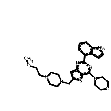 COCCN1CCN(Cc2cc3nc(-c4cccc5[nH]ccc45)nc(N4CCOCC4)c3s2)CC1